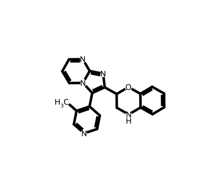 Cc1cnccc1-c1c(C2CNc3ccccc3O2)nc2ncccn12